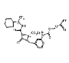 CCOC(=O)[C@@H]1N(Cc2ccnc(NC(=O)OCOC(=O)C(C)C)c2)C(=O)N1C(=O)N[C@@H](C1CCCCC1)C(F)(F)F